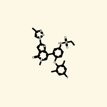 CCS(=O)(=O)Nc1ccc(Oc2c(C)cc(F)cc2C)c(-c2cn(C)c(=O)c3cc(-n4cc(C)nn4)sc23)c1